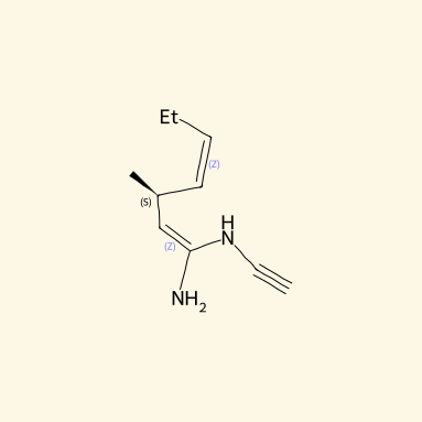 C#CN/C(N)=C\[C@@H](C)/C=C\CC